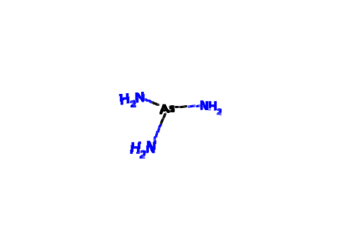 N[As](N)N